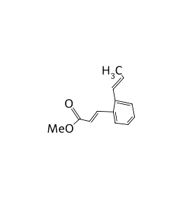 CC=Cc1ccccc1C=CC(=O)OC